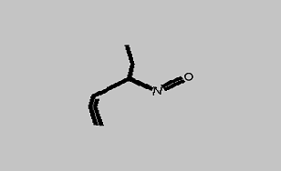 C=CC(C)N=O